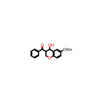 COc1ccc2c(c1)C(O)C(C(=O)c1ccccc1)CO2